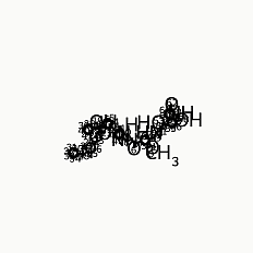 COc1cc(C(=O)NCc2ncc(-c3cccc(C(O)(C(=O)OCC4CCN(Cc5ccccc5)CC4)c4ccccc4)c3)cn2)ccc1CNC[C@H](O)c1ccc(O)c2[nH]c(=O)ccc12